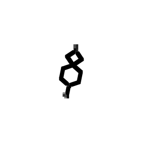 [2H]N1CCC2(CC1)CNC2